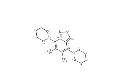 FC(F)(F)c1c(C(F)(F)F)c(B2OCCCO2)c2nsnc2c1B1OCCCO1